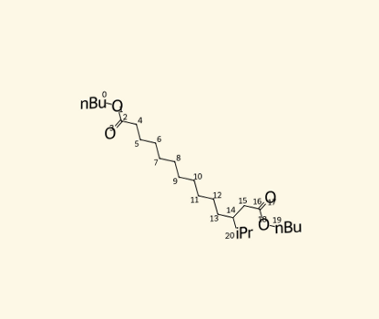 CCCCOC(=O)CCCCCCCCCCC(CC(=O)OCCCC)C(C)C